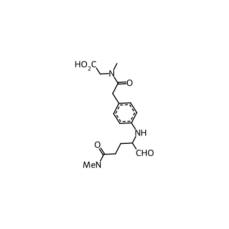 CNC(=O)CCC(C=O)Nc1ccc(CC(=O)N(C)CC(=O)O)cc1